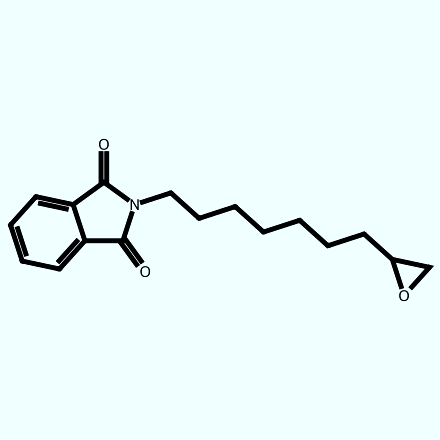 O=C1c2ccccc2C(=O)N1CCCCCCCC1CO1